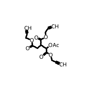 C#CCOC(=O)CC(C(=O)OCC#C)C(OC(C)=O)C(=O)OCC#C